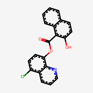 O=C(Oc1ccc(Cl)c2cccnc12)c1c(O)ccc2ccccc12